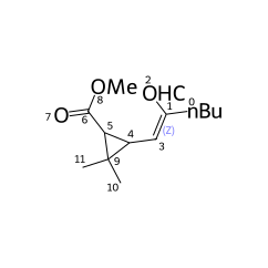 CCCC/C(C=O)=C/C1C(C(=O)OC)C1(C)C